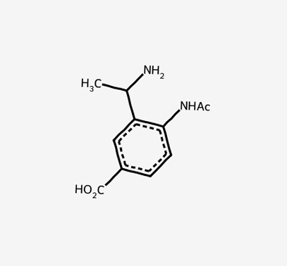 CC(=O)Nc1ccc(C(=O)O)cc1C(C)N